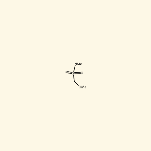 CNS(=O)(=O)COC